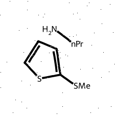 CCCN.CSc1cccs1